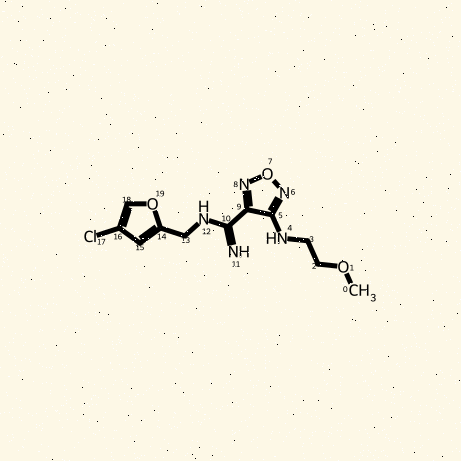 COCCNc1nonc1C(=N)NCc1cc(Cl)co1